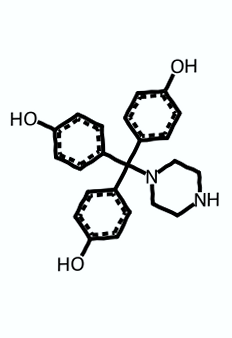 Oc1ccc(C(c2ccc(O)cc2)(c2ccc(O)cc2)N2CCNCC2)cc1